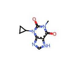 Cn1c(=O)c2[nH]cnc2n(C2CC2)c1=O